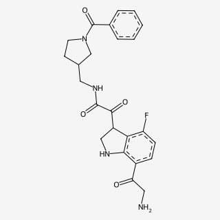 NCC(=O)c1ccc(F)c2c1NCC2C(=O)C(=O)NCC1CCN(C(=O)c2ccccc2)C1